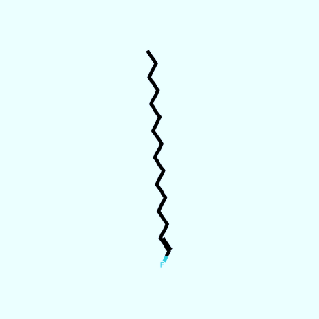 CCCCCCCCCCCCCCC=CF